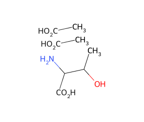 CC(=O)O.CC(=O)O.CC(O)C(N)C(=O)O